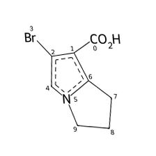 O=C(O)c1c(Br)cn2c1CCC2